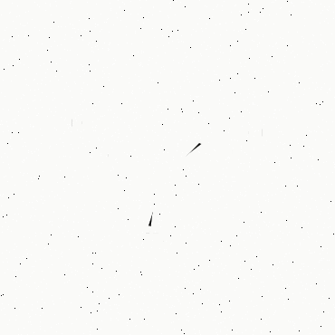 B[C@@H]1O[C@H](COC)C(OP(C)(=O)O)[C@H]1F